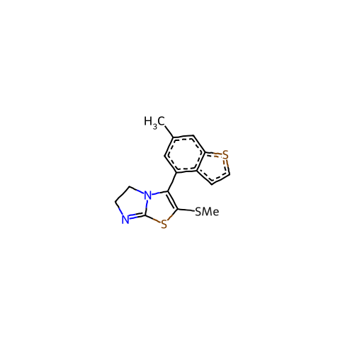 CSC1=C(c2cc(C)cc3sccc23)N2CCN=C2S1